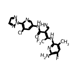 Cc1cc(F)c(N)nc1N/C(=C(\C=N)C(=O)Nc1cnc(-n2nccn2)c(Cl)c1)C(F)(F)F